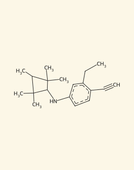 C#Cc1ccc(NC2C(C)(C)C(C)C2(C)C)cc1CC